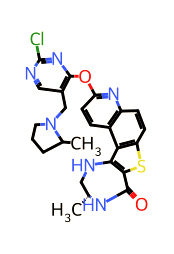 CC1CCCN1Cc1cnc(Cl)nc1Oc1ccc2c(ccc3sc4c(c32)NC[C@@H](C)NC4=O)n1